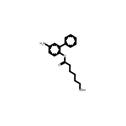 CCCCCCCCCCCCCCCC(=O)Oc1ccc(N)cc1-c1ccccc1